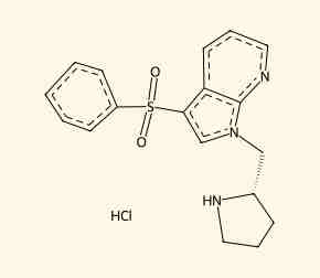 Cl.O=S(=O)(c1ccccc1)c1cn(C[C@@H]2CCCN2)c2ncccc12